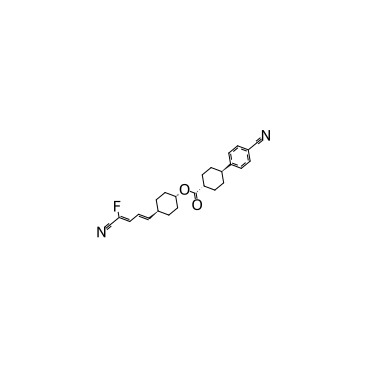 N#CC(F)=CC=C[C@H]1CC[C@H](OC(=O)[C@H]2CC[C@H](c3ccc(C#N)cc3)CC2)CC1